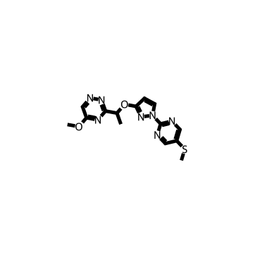 COc1cnnc(C(C)Oc2ccn(-c3ncc(SC)cn3)n2)n1